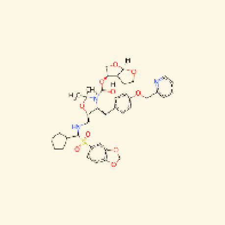 CC1(C)O[C@H](CNC(C2CCCC2)S(=O)(=O)c2ccc3c(c2)OCO3)[C@H](Cc2ccc(OCc3ccccn3)cc2)N1C(=O)O[C@H]1CO[C@H]2OCC[C@H]21